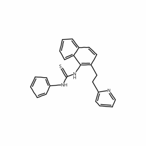 S=C(Nc1ccccc1)Nc1c(CCc2ccccn2)ccc2ccccc12